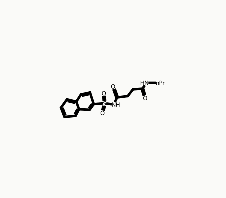 CCCNC(=O)CCC(=O)NS(=O)(=O)c1ccc2ccccc2c1